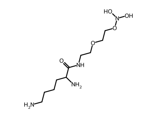 NCCCCC(N)C(=O)NCCOCCON(O)O